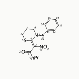 CCCC(=O)/C(=C1\SCCCN1Sc1ccccc1)[N+](=O)[O-]